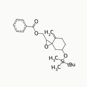 C=C1CCC(O[Si](C)(C)C(C)(C)C)CC12OC2COC(=O)c1ccccc1